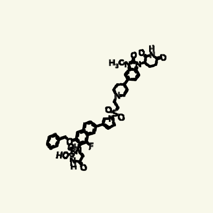 Cn1c(=O)n(C2CCC(=O)NC2=O)c2ccc(C3CCN(CCS(=O)(=O)N4CC=C(c5ccc6cc(OCc7ccccc7)c(N7CC(=O)NS7(O)O)c(F)c6c5)C4)CC3)cc21